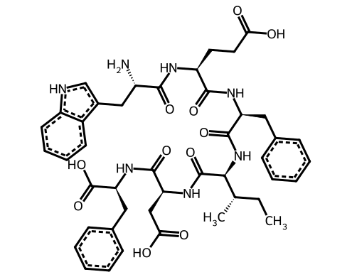 CC[C@H](C)[C@H](NC(=O)[C@H](Cc1ccccc1)NC(=O)[C@H](CCC(=O)O)NC(=O)[C@@H](N)Cc1c[nH]c2ccccc12)C(=O)N[C@@H](CC(=O)O)C(=O)N[C@@H](Cc1ccccc1)C(=O)O